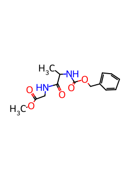 COC(=O)CNC(=O)C(C)NC(=O)OCc1ccccc1